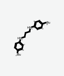 CCC(C)c1ccc(NCCCNc2ccc(C(C)CC)cc2)cc1